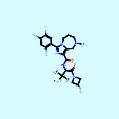 CN1CCCn2c(-c3cc(F)c(F)cc3F)nc(C(=O)NC(C(=O)N3CC(F)C3)C(C)(C)C)c2C1